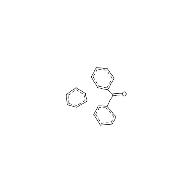 O=C(c1ccccc1)c1ccccc1.c1ccccc1